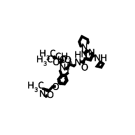 Cc1ncoc1COc1ccc2c(c1)CN(C(=O)OC(C)(C)C)[C@H]([C@H](O)CNC(=O)c1cc(NC3CCC3)nc(N3CCCCC3)n1)C2